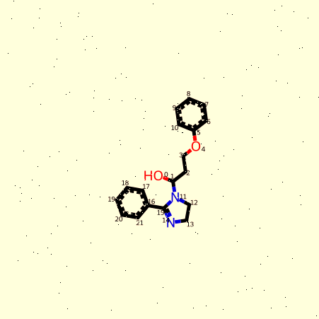 OC(CCOc1ccccc1)N1CCN=C1c1ccccc1